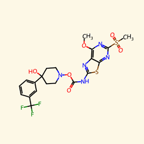 COc1nc(S(C)(=O)=O)nc2sc(NC(=O)ON3CCC(O)(c4cccc(C(F)(F)F)c4)CC3)nc12